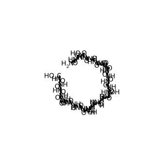 NCC(=O)NCC(=O)N[C@@H](CO)C(=O)NCC(=O)NCC(=O)NCC(=O)NCC(=O)N[C@@H](CO)C(=O)NCC(=O)NCC(=O)NCC(=O)NCC(=O)N[C@@H](CO)C(=O)NCC(=O)NCC(=O)NCC(=O)NCC(=O)N[C@@H](CO)C(=O)NCC(=O)NCC(=O)NCC(=O)NCC(=O)N[C@@H](CO)C(=O)NCC(=O)NCC(=O)NCC(=O)NCC(=O)O